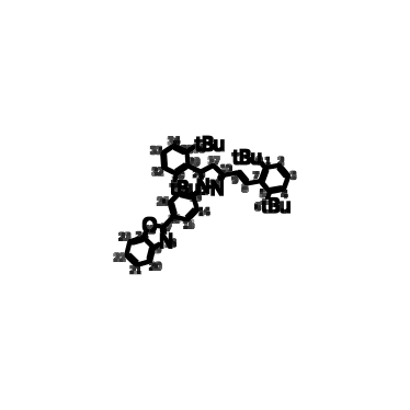 CC(C)(C)c1cccc(C(C)(C)C)c1C=CC1=NN(c2ccc(-c3nc4ccccc4o3)cc2)C(c2c(C(C)(C)C)cccc2C(C)(C)C)C1